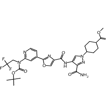 COC(=O)C1CCC(n2cc(NC(=O)c3coc(-c4ccnc(N(CC(F)(F)F)C(=O)OC(C)(C)C)c4)n3)c(C(N)=O)n2)CC1